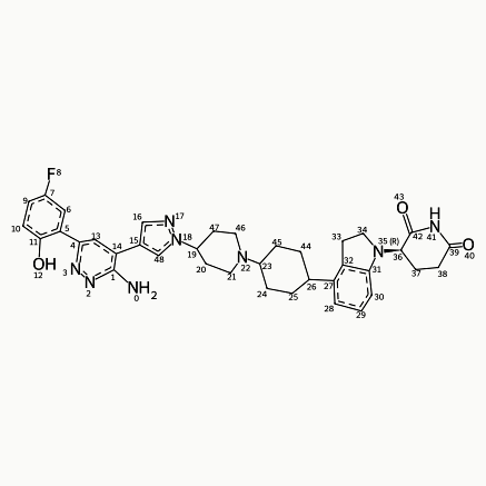 Nc1nnc(-c2cc(F)ccc2O)cc1-c1cnn(C2CCN(C3CCC(c4cccc5c4CCN5[C@@H]4CCC(=O)NC4=O)CC3)CC2)c1